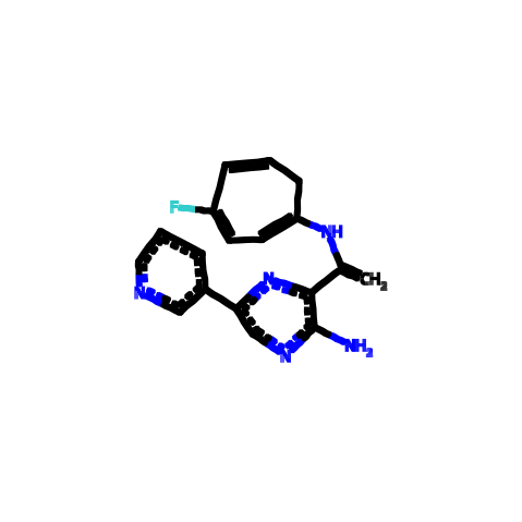 C=C(NC1=CC=C(F)C=CC1)c1nc(-c2cccnc2)cnc1N